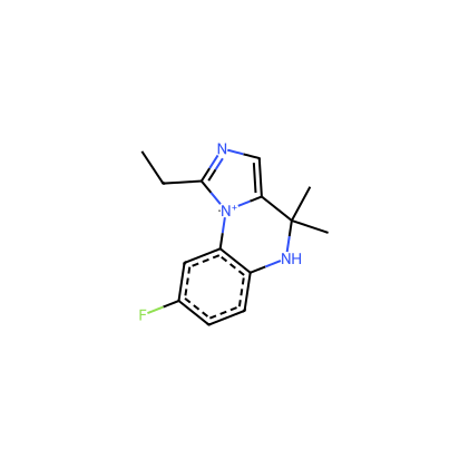 CCC1=NC=C2[N+]1c1cc(F)ccc1NC2(C)C